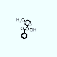 CN1CCOC(OC(=O)c2ccccc2)C1.Cl